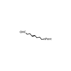 CCCCCCCCC=CCC[C]=O